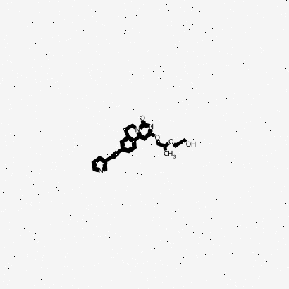 CC(COc1cc2n(c(=O)n1)CCc1cc(C#Cc3cccnc3)ccc1-2)OCCO